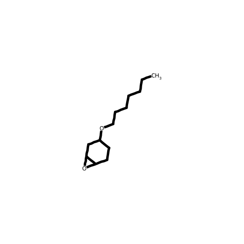 CCCCCCCOC1CCC2OC2C1